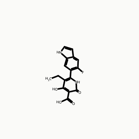 CCc1c(-c2cc3[nH]ccc3cc2F)[nH]c(=O)c(C(=O)O)c1O